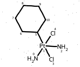 [NH2][Pt]([NH2])([Cl])([Cl])[CH]1CCCCC1